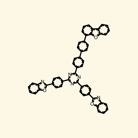 c1ccc2oc(-c3ccc(-c4nc(-c5ccc(-c6ccc(-c7cccc8c7oc7ccccc78)cc6)cc5)nc(-c5ccc(-c6nc7ccccc7o6)cc5)n4)cc3)nc2c1